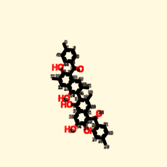 Cc1ccc(C(=O)c2c(O)c(C)cc3c(O)c(-c4c(C)cc5c(C(=O)c6ccc(C)cc6)c(O)c(O)cc5c4O)c(C)cc23)cc1